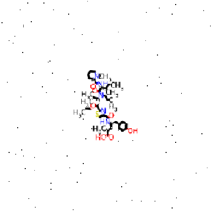 CCCO[C@H](C[C@H](C(C)C)N(CCC)C(=O)[C@@H](NC(=O)[C@H]1CCCCN1C)[C@@H](C)CC)c1nc(C(=O)N[C@@H](Cc2ccc(O)cc2)C[C@H](C)C(=O)O)cs1